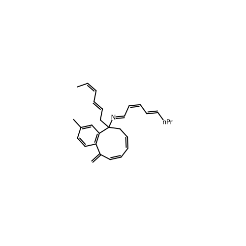 C=C1/C=C\C=C/CC(C/C=C/C=C\C)(/N=C/C=C\C=C\CCC)c2cc(C)ccc21